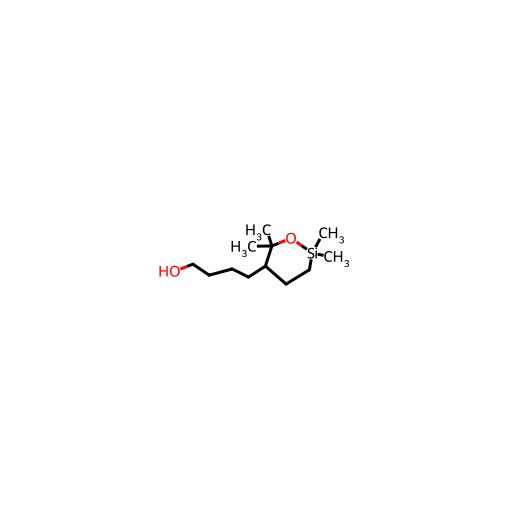 CC1(C)O[Si](C)(C)CCC1CCCCO